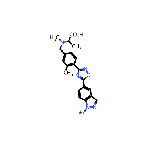 Cc1cc(CN(C)[C@H](C)C(=O)O)ccc1-c1noc(-c2ccc3c(cnn3C(C)C)c2)n1